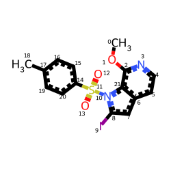 COc1nccc2cc(I)n(S(=O)(=O)c3ccc(C)cc3)c12